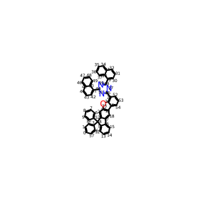 c1ccc(C2(c3ccccc3)c3ccccc3-c3cc4c(cc32)oc2c(-c3nc(-c5cccc6ccccc56)nc(-c5cccc6ccccc56)n3)cccc24)cc1